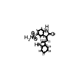 NS(=O)(=O)c1ccc2c(c1)/C(=C\c1c[nH]c3ccccc13)C(=O)N2